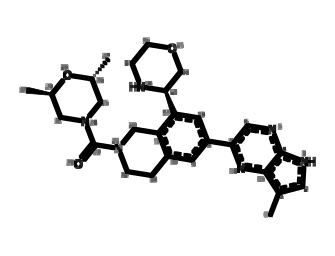 Cc1c[nH]c2ncc(-c3cc4c(c([C@@H]5COCCN5)c3)CN(C(=O)N3C[C@@H](C)O[C@H](C)C3)CC4)nc12